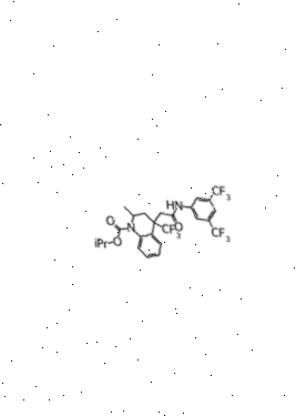 CC(C)OC(=O)N1c2ccccc2C(CC(=O)Nc2cc(C(F)(F)F)cc(C(F)(F)F)c2)(C(F)(F)F)CC1C